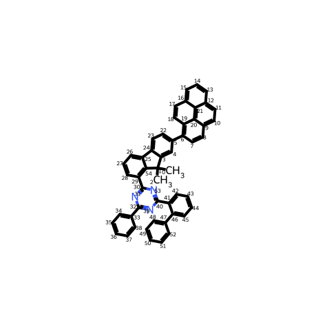 CC1(C)c2cc(-c3ccc4ccc5cccc6ccc3c4c56)ccc2-c2cccc(-c3nc(-c4ccccc4)nc(-c4ccccc4-c4ccccc4)n3)c21